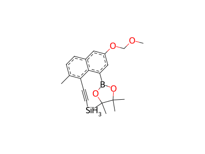 COCOc1cc(B2OC(C)(C)C(C)(C)O2)c2c(C#C[SiH3])c(C)ccc2c1